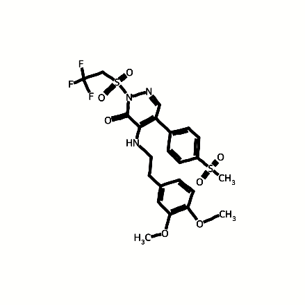 COc1ccc(CCNc2c(-c3ccc(S(C)(=O)=O)cc3)cnn(S(=O)(=O)CC(F)(F)F)c2=O)cc1OC